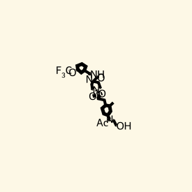 CC(=O)N(CCO)c1ccc(CCS(=O)(=O)N2CCC3(CC2)N=C(c2cccc(OC(F)(F)F)c2)NC3=O)c(C)c1